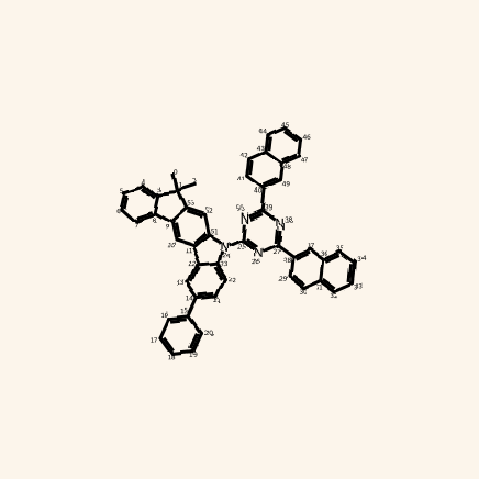 CC1(C)c2ccccc2-c2cc3c4cc(-c5ccccc5)ccc4n(-c4nc(-c5ccc6ccccc6c5)nc(-c5ccc6ccccc6c5)n4)c3cc21